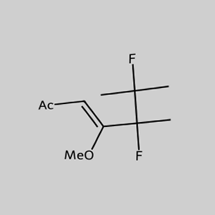 CO/C(=C\C(C)=O)C(C)(F)C(C)(C)F